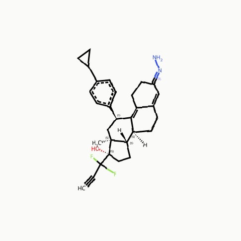 C#CC(F)(F)[C@]1(O)CC[C@H]2[C@@H]3CCC4=C/C(=N/N)CCC4=C3[C@H](c3ccc(C4CC4)cc3)C[C@@]21C